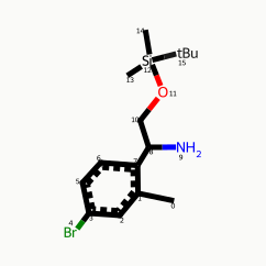 Cc1cc(Br)ccc1C(N)CO[Si](C)(C)C(C)(C)C